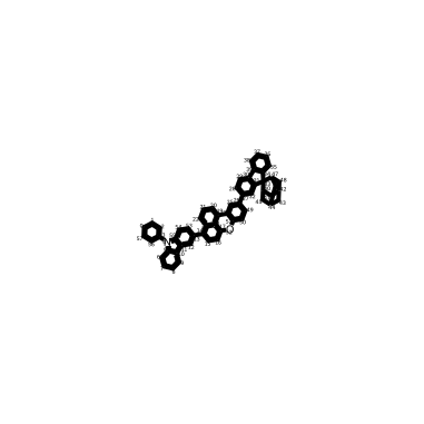 c1ccc(-n2c3ccccc3c3cc(-c4ccc5c6c(cccc46)-c4cc(-c6ccc7c(c6)C6(c8ccccc8-7)C7CC8CC(C7)CC6C8)ccc4O5)ccc32)cc1